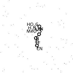 CO[C@H](CN)Cn1c(Cc2ccc(-c3cccc(OCc4ccc(C#N)cc4F)n3)cc2)nc2ccc(C(=O)O)cc21